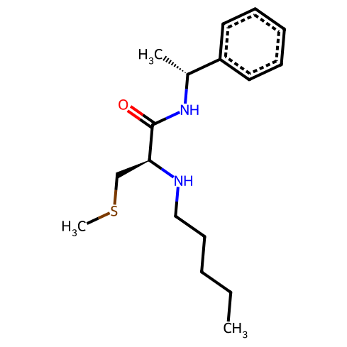 CCCCCN[C@@H](CSC)C(=O)N[C@H](C)c1ccccc1